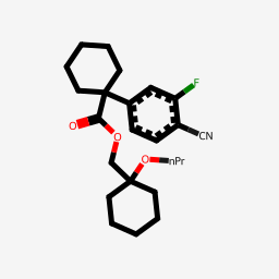 CCCOC1(COC(=O)C2(c3ccc(C#N)c(F)c3)CCCCC2)CCCCC1